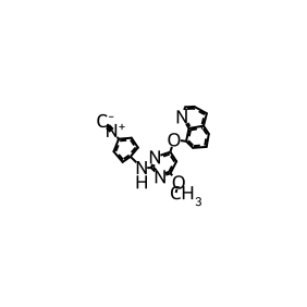 [C-]#[N+]c1ccc(Nc2nc(OC)cc(Oc3cccc4cccnc34)n2)cc1